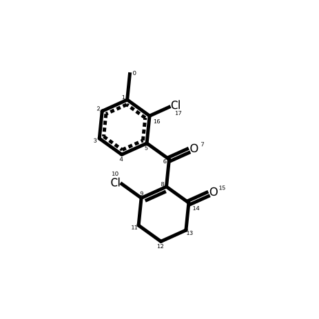 Cc1cccc(C(=O)C2=C(Cl)CCCC2=O)c1Cl